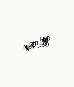 CC(C)(C)OC(=O)N(CCCCCC#Cc1ccc2c(c1)CN(C1CCC(=O)NC1=O)C2=O)[C@H]1CC[C@@H](N=[N+]=[N-])CC1